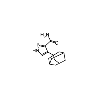 NC(=O)c1n[nH]cc1C12CC3CC(CC(C3)C1)C2